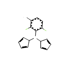 CCCc1ccc(F)[c]([Ti]([CH]2C=CC=C2)[CH]2C=CC=C2)c1F